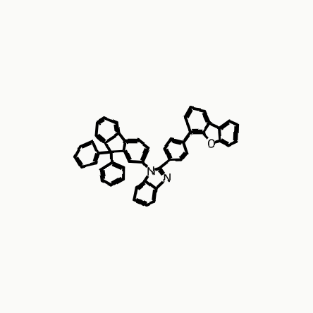 c1ccc(C2(c3ccccc3)c3ccccc3-c3ccc(-n4c(-c5ccc(-c6cccc7c6oc6ccccc67)cc5)nc5ccccc54)cc32)cc1